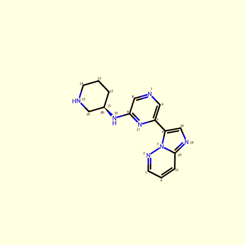 c1cnn2c(-c3cncc(N[C@@H]4CCCNC4)n3)cnc2c1